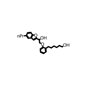 CCCc1ccc2oc(C(O)COc3ccccc3CCCCCCO)cc2c1